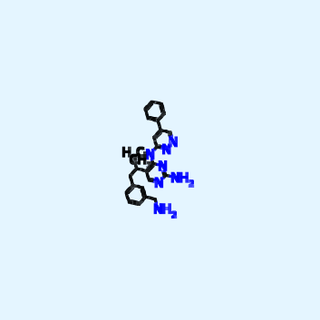 CC(Cc1cccc(CN)c1)c1cnc(N)nc1N(C)c1cc(-c2ccccc2)cnn1